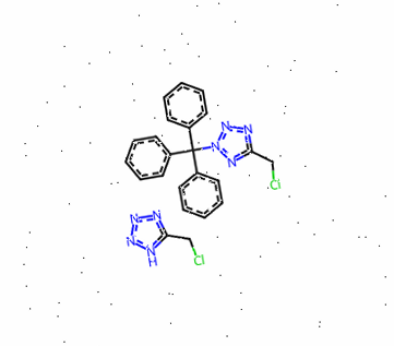 ClCc1nnn(C(c2ccccc2)(c2ccccc2)c2ccccc2)n1.ClCc1nnn[nH]1